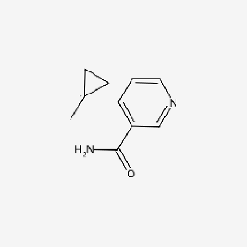 C[C]1CC1.NC(=O)c1cccnc1